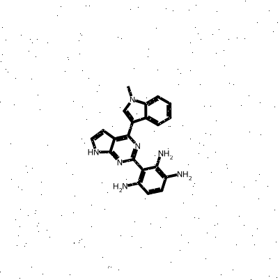 Cn1cc(-c2nc(-c3c(N)ccc(N)c3N)nc3[nH]ccc23)c2ccccc21